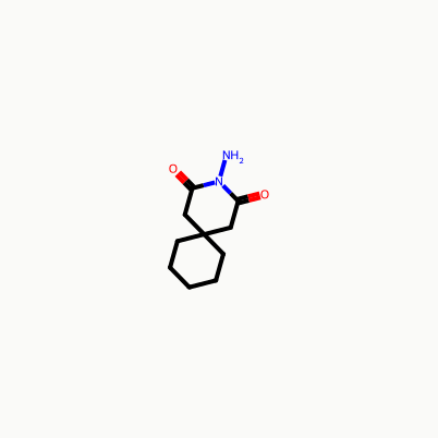 NN1C(=O)CC2(CCCCC2)CC1=O